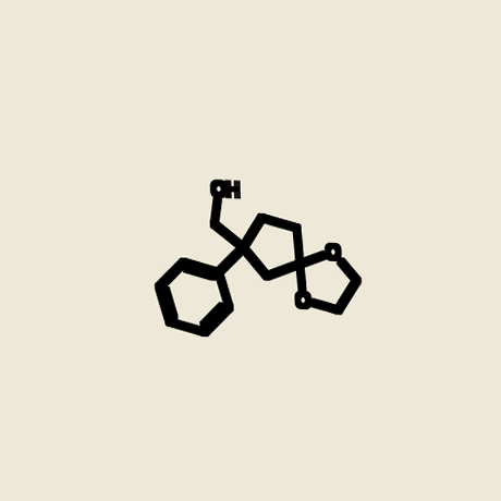 OCC1(c2ccccc2)CCC2(C1)OCCO2